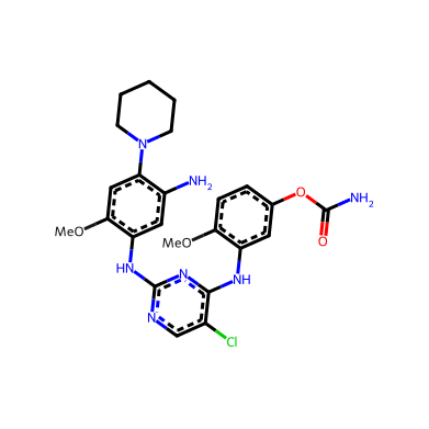 COc1cc(N2CCCCC2)c(N)cc1Nc1ncc(Cl)c(Nc2cc(OC(N)=O)ccc2OC)n1